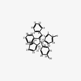 Cc1ccc([N+](C(=Cc2ccccc2)c2ccccc2)(c2ccccc2)c2ccc(C)cc2)cc1